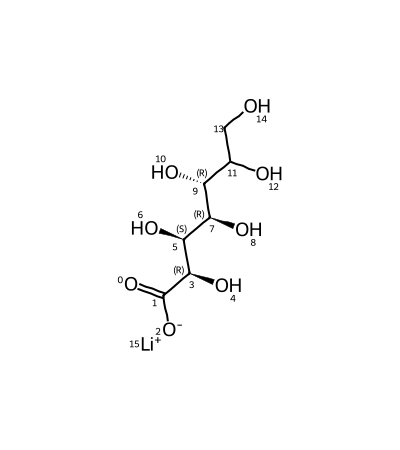 O=C([O-])[C@H](O)[C@@H](O)[C@H](O)[C@H](O)C(O)CO.[Li+]